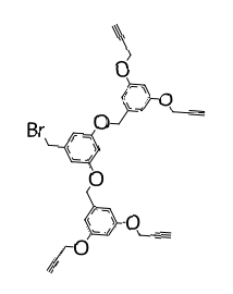 C#CCOc1cc(COc2cc(CBr)cc(OCc3cc(OCC#C)cc(OCC#C)c3)c2)cc(OCC#C)c1